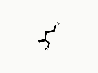 C=C(CS)CCC(C)C